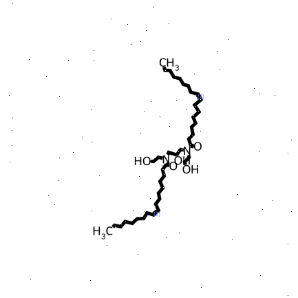 CCCCCCCC/C=C\CCCCCCCC(=O)N(CCO)CC(O)CN(CCO)C(=O)CCCCCCC/C=C\CCCCCCCC